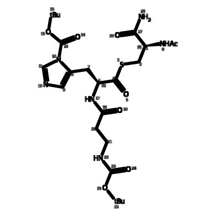 CC(=O)N[C@@H](CSC(=O)[C@H](Cc1cncn1C(=O)OC(C)(C)C)NC(=O)CCNC(=O)OC(C)(C)C)C(N)=O